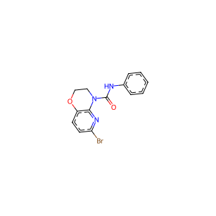 O=C(Nc1ccccc1)N1CCOc2ccc(Br)nc21